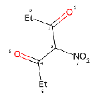 CCC(=O)C(C(=O)CC)[N+](=O)[O-]